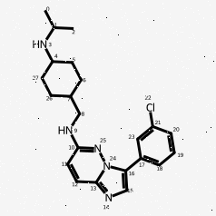 CC(C)NC1CCC(CNc2ccc3ncc(-c4cccc(Cl)c4)n3n2)CC1